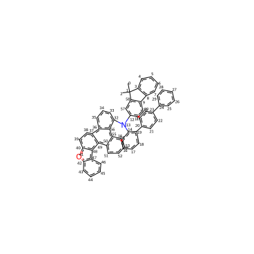 CC1(C)c2ccccc2-c2ccc(N(c3ccccc3-c3ccc(-c4ccccc4)cc3)c3cccc4c5ccc6oc7ccccc7c6c5c5ccccc5c34)cc21